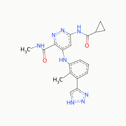 CNC(=O)c1nnc(NC(=O)C2CC2)cc1Nc1cccc(-c2c[nH]nn2)c1C